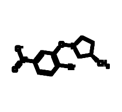 C[C@@H]1CCN(Oc2cc([N+](=O)[O-])ccc2Br)C1